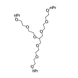 CCCOCCOCCOCC(COCCOCCOCCC)OCCOCCOCCC